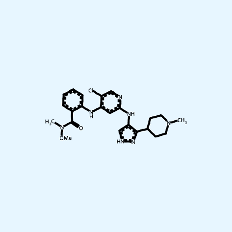 CON(C)C(=O)c1ccccc1Nc1cc(Nc2c[nH]nc2C2CCN(C)CC2)ncc1Cl